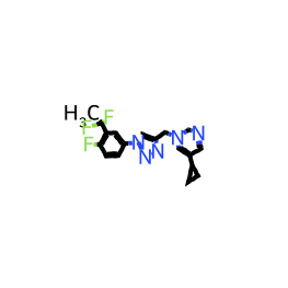 CC(F)(F)c1cc(-n2cc(CN3C=C(C4CC4)C=NC3)nn2)ccc1F